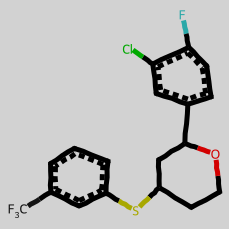 Fc1ccc(C2CC(Sc3cccc(C(F)(F)F)c3)CCO2)cc1Cl